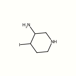 NC1CNCCC1I